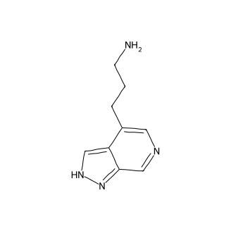 NCCCc1cncc2n[nH]cc12